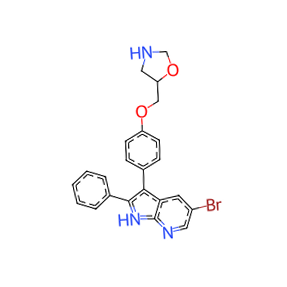 Brc1cnc2[nH]c(-c3ccccc3)c(-c3ccc(OCC4CNCO4)cc3)c2c1